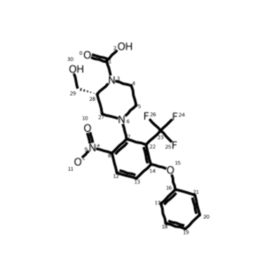 O=C(O)N1CCN(c2c([N+](=O)[O-])ccc(Oc3ccccc3)c2C(F)(F)F)C[C@@H]1CO